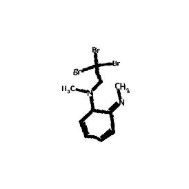 C/N=C1/C=CC=CC1N(C)CC(Br)(Br)Br